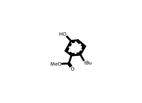 COC(=O)c1cc(O)ccc1C(C)(C)C